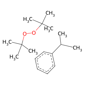 CC(C)(C)OOC(C)(C)C.CC(C)c1ccccc1